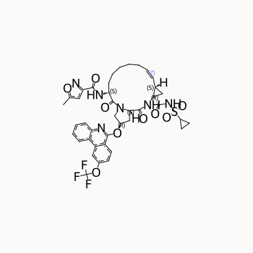 Cc1cc(C(=O)N[C@H]2CCCCC/C=C\[C@@H]3C[C@@]3(C(=O)NS(=O)(=O)C3CC3)NC(=O)[C@@H]3C[C@@H](Oc4nc5ccccc5c5cc(OC(F)(F)F)ccc45)CN3C2=O)no1